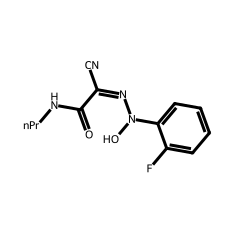 CCCNC(=O)C(C#N)=NN(O)c1ccccc1F